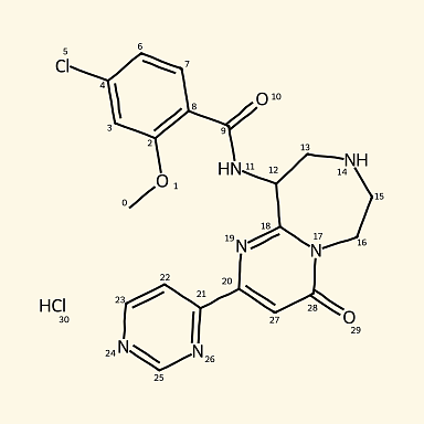 COc1cc(Cl)ccc1C(=O)NC1CNCCn2c1nc(-c1ccncn1)cc2=O.Cl